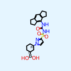 O=C(Nc1c2c(cc3c1CCC3)CCC2)NS(=O)(=O)c1ccn([C@@H]2CCC[C@H](B(O)O)C2)n1